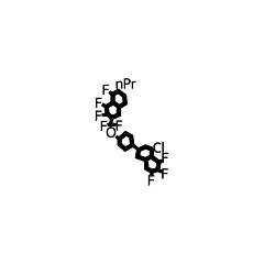 CCCc1ccc2cc(C(F)(F)Oc3ccc(-c4cc(Cl)c5c(F)c(F)c(F)cc5c4)cc3)c(F)c(F)c2c1F